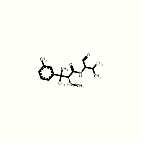 CN[C@H](C(=O)NC(C=O)C(C)C)C(C)(C)c1cccc(C)c1